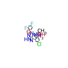 Cc1ccc(Cl)cc1-c1n[nH]c2nc(Oc3ccc(F)cc3F)nc(NC[C@H](C)O)c12